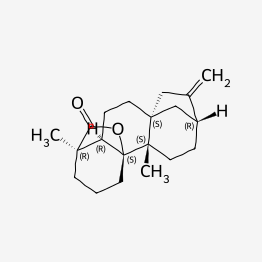 C=C1C[C@@]23CC[C@@H]4[C@@]5(C)CCC[C@@]4(OC5=O)[C@@]2(C)CC[C@@H]1C3